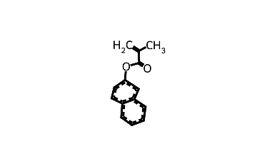 C=C(C)C(=O)Oc1ccc2ccccc2c1